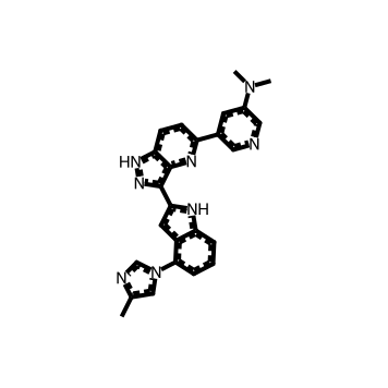 Cc1cn(-c2cccc3[nH]c(-c4n[nH]c5ccc(-c6cncc(N(C)C)c6)nc45)cc23)cn1